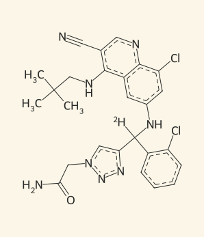 [2H]C(Nc1cc(Cl)c2ncc(C#N)c(NCC(C)(C)C)c2c1)(c1cn(CC(N)=O)nn1)c1ccccc1Cl